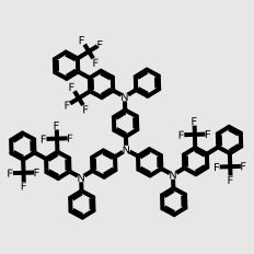 FC(F)(F)c1ccccc1-c1ccc(N(c2ccccc2)c2ccc(N(c3ccc(N(c4ccccc4)c4ccc(-c5ccccc5C(F)(F)F)c(C(F)(F)F)c4)cc3)c3ccc(N(c4ccccc4)c4ccc(-c5ccccc5C(F)(F)F)c(C(F)(F)F)c4)cc3)cc2)cc1C(F)(F)F